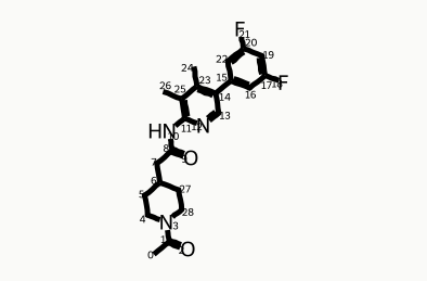 CC(=O)N1CCC(CC(=O)Nc2ncc(-c3cc(F)cc(F)c3)c(C)c2C)CC1